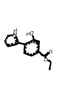 CCOC(=O)c1ccc(-c2ccc[nH]2)c(O)c1